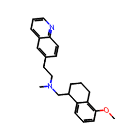 COc1cccc2c1CCCC2CN(C)CCc1ccc2ncccc2c1